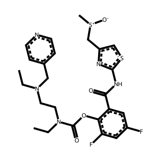 CCN(CCN(CC)C(=O)Oc1c(F)cc(F)cc1C(=O)Nc1nc(C[S+](C)[O-])cs1)Cc1ccncc1